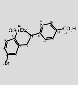 CCN(Cc1cc(Br)ccc1OCC(C)C)c1ccc(C(=O)O)cn1